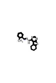 Cc1ccccc1/C=N/Nc1ncnc2sc3c(c12)CCCC3